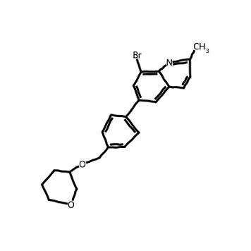 Cc1ccc2cc(-c3ccc(COC4CCCOC4)cc3)cc(Br)c2n1